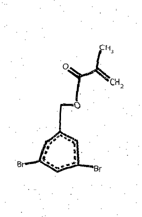 C=C(C)C(=O)OCc1cc(Br)cc(Br)c1